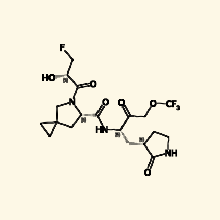 O=C1NCC[C@H]1C[C@H](NC(=O)[C@@H]1CC2(CC2)CN1C(=O)[C@H](O)CF)C(=O)COC(F)(F)F